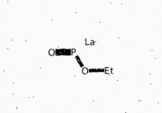 CCOP=O.[La]